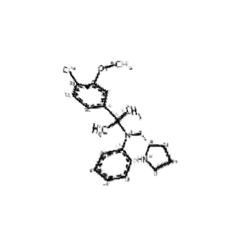 COc1cc(C(C)(C)N(C[C@@H]2CCCN2)c2ccccc2)ccc1Cl